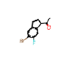 CC(=O)C1C=Cc2cc(Br)c(F)cc21